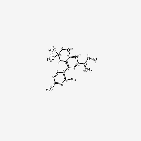 C=C(OCC)c1cc(-c2ccc(C)cc2F)c2c(n1)OCC(C)(C)C2